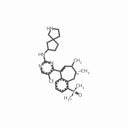 CC1C=C(c2nc(NC3CCC4(CCNC4)C3)ncc2C(F)(F)F)c2cccc(P(C)(C)=O)c2C[C@H]1C